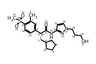 Cc1cc([C@@H](CC2CCCC2)C(=O)Nc2ccn(CCCO)n2)ccc1S(C)(=O)=O